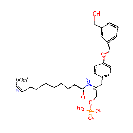 CCCCCCCC/C=C\CCCCCCCC(=O)N[C@H](CO[PH](O)(O)O)Cc1ccc(OCc2cccc(CO)c2)cc1